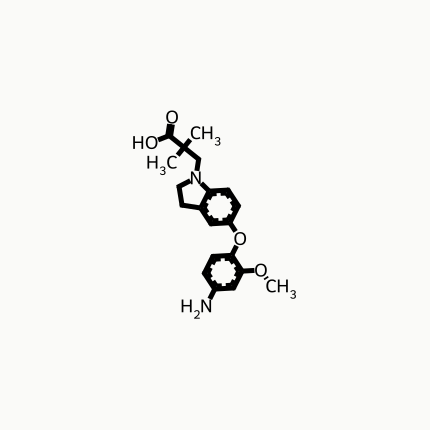 COc1cc(N)ccc1Oc1ccc2c(c1)CCN2CC(C)(C)C(=O)O